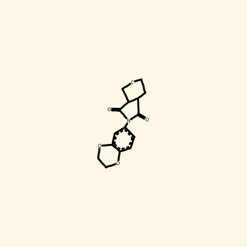 O=C1C2CCCCC2C(=O)N1c1ccc2c(c1)OCCO2